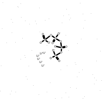 O=P([O-])([O-])OP(=O)([O-])OP(=O)([O-])OP(=O)([O-])[O-].[Li+].[Li+].[Li+].[Li+].[Li+].[Li+]